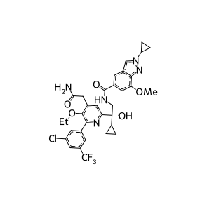 CCOc1c(CC(N)=O)cc([C@@](O)(CNC(=O)c2cc(OC)c3nn(C4CC4)cc3c2)C2CC2)nc1-c1cc(Cl)cc(C(F)(F)F)c1